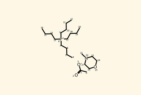 CC(=O)[O-].CCCC[P+](CCCC)(CCCC)CCCC.CN1CCOCC1